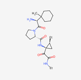 CCNC(=O)C(=O)[C@@]1(NC(=O)[C@@H]2CCCN2C(=O)[C@@H](N)C2(C)CCCCC2)C[C@@H]1CC